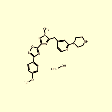 Cn1nc(-c2nc(-c3ccc(OC(F)(F)F)cc3)no2)nc1Cc1ccnc(N2CCNCC2)c1.O=CO